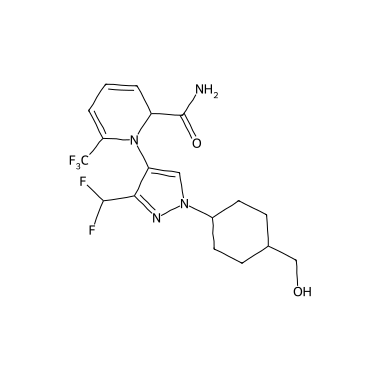 NC(=O)C1C=CC=C(C(F)(F)F)N1c1cn(C2CCC(CO)CC2)nc1C(F)F